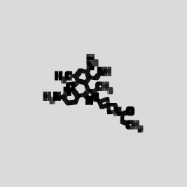 C=CC(=O)N1CC2(CC(n3nc(-c4ccc(N)nc4)c(-c4c(Cl)c(C)cc(N)c4C=N)c3C)C2)C1